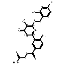 Cc1ccc(C(=O)NCC(N)=O)cc1-c1nc(OCc2ccc(F)cc2F)c(Cl)c(=O)[nH]1